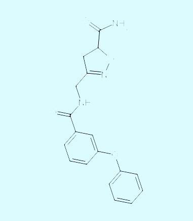 NC(=O)C1CC(CNC(=O)c2cccc(Oc3ccccc3)c2)=NO1